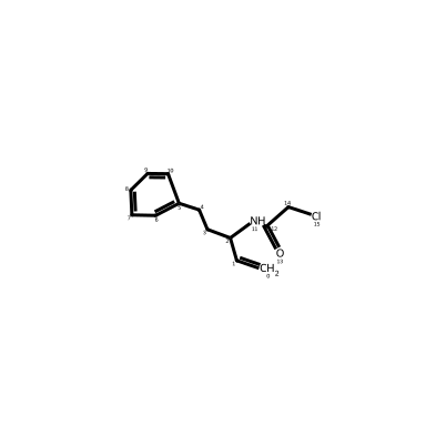 C=CC(CCc1ccccc1)NC(=O)CCl